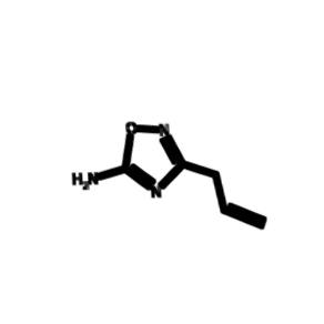 C=CCc1noc(N)n1